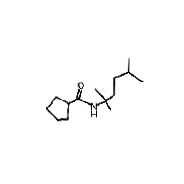 CC(C)CCC(C)(C)NC(=O)C1CCCC1